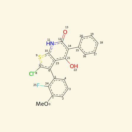 COc1cccc(-c2c(Cl)sc3[nH]c(=O)c(-c4ccccc4)c(O)c23)c1F